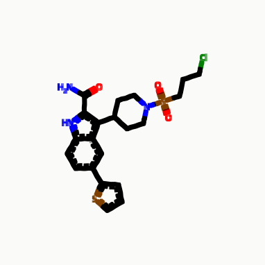 NC(=O)c1[nH]c2ccc(-c3cccs3)cc2c1C1CCN(S(=O)(=O)CCCCl)CC1